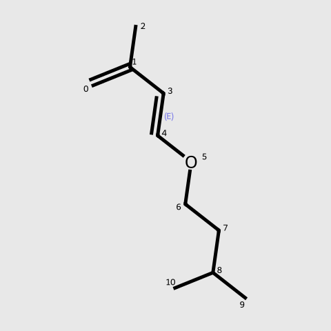 C=C(C)/C=C/OCCC(C)C